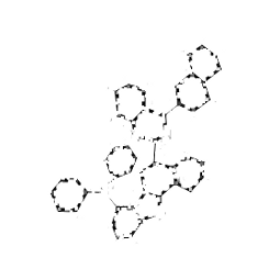 c1ccc(N(c2ccccc2)c2cccc3oc4c5ccccc5c(-c5nc(-c6ccc7ccccc7c6)c6ccccc6n5)cc4c23)cc1